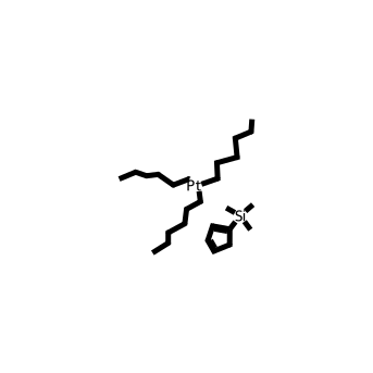 CCCCC[CH2][Pt]([CH2]CCCCC)[CH2]CCCCC.C[Si](C)(C)C1=CC=CC1